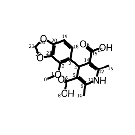 COc1c(C2C(C(=O)O)=C(C)NC(C)=C2C(=O)O)ccc2c1OCO2